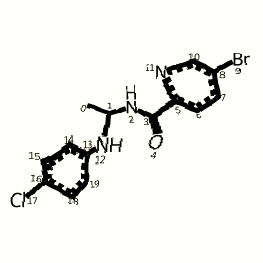 CC(NC(=O)c1ccc(Br)cn1)Nc1ccc(Cl)cc1